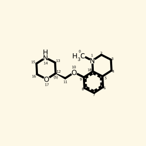 CN1CCCc2cccc(OC[C@@H]3CNCCO3)c21